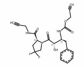 C#CCNC(=O)[C@@H]1CC(F)(F)CN1C(=O)[C@@H](O)[C@H](Cc1ccccc1)NC(=O)OCC#C